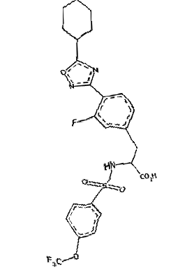 O=C(O)C(Cc1ccc(-c2noc(C3CCCCC3)n2)c(F)c1)NS(=O)(=O)c1ccc(OC(F)(F)F)cc1